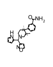 C[C@H]1CN(C(c2ccon2)c2ccc[nH]2)CC[C@@]1(C)c1cccc(C(N)=O)c1